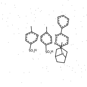 CN1CC2CCC(C1)N2c1ccc(-c2ccccc2)nn1.Cc1ccc(S(=O)(=O)O)cc1.Cc1ccc(S(=O)(=O)O)cc1